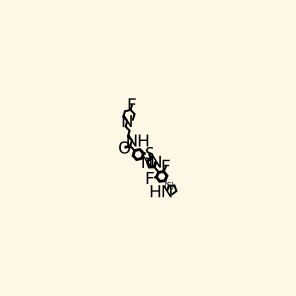 O=C(NCCCN1CCC(F)CC1)c1ccc2c(c1)sc1nc(-c3c(F)cc([C@@H]4CCCN4)cc3F)cn12